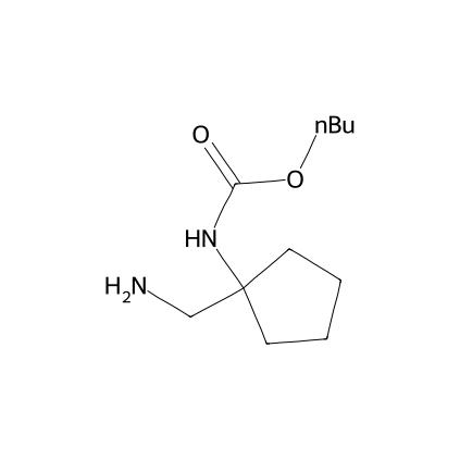 CCCCOC(=O)NC1(CN)CCCC1